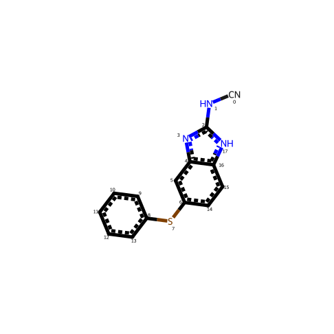 N#CNc1nc2cc(Sc3ccccc3)ccc2[nH]1